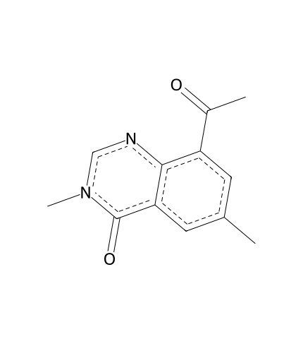 CC(=O)c1cc(C)cc2c(=O)n(C)cnc12